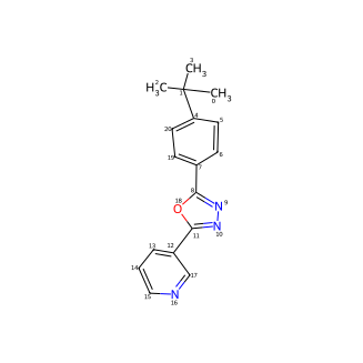 CC(C)(C)c1ccc(-c2nnc(-c3cccnc3)o2)cc1